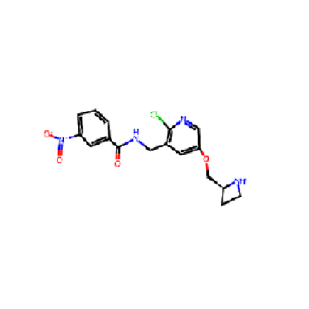 O=C(NCc1cc(OC[C@@H]2CCN2)cnc1Cl)c1cccc([N+](=O)[O-])c1